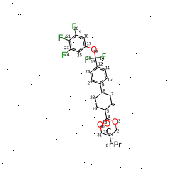 CCCC12COC(C3CCC(c4ccc(C(F)(F)Oc5cc(F)c(F)c(F)c5)cc4)CC3)(OC1)OC2